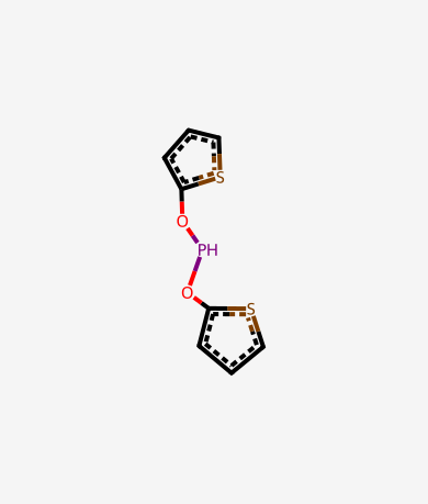 c1csc(OPOc2cccs2)c1